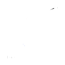 CCCC(C)CN1CCC(O[C@H]2C[C@H](CC)C2)CC1